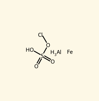 O=S(=O)(O)OCl.[AlH3].[Fe]